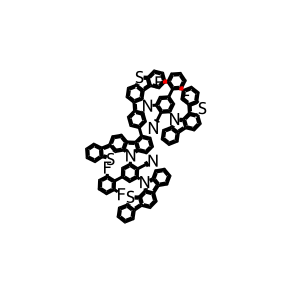 N#Cc1c(-n2c3ccccc3c3ccc4c5ccccc5sc4c32)cc(-c2c(F)cccc2F)cc1-n1c2cccc(-c3ccc4c5ccc6sc7ccccc7c6c5n(-c5cc(-c6c(F)cccc6F)cc(-n6c7ccccc7c7ccc8sc9ccccc9c8c76)c5C#N)c4c3)c2c2ccc3c4ccccc4sc3c21